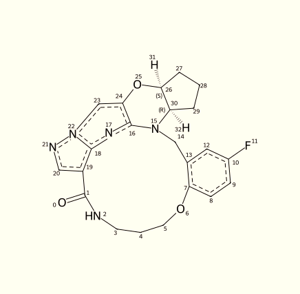 O=C1NCCCOc2ccc(F)cc2CN2c3nc4c1cnn4cc3O[C@H]1CCC[C@H]12